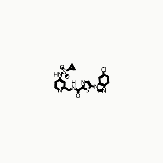 O=C(NCc1cc(NS(=O)(=O)C2CC2)ccn1)c1ncc(-n2cnc3ccc(Cl)cc32)s1